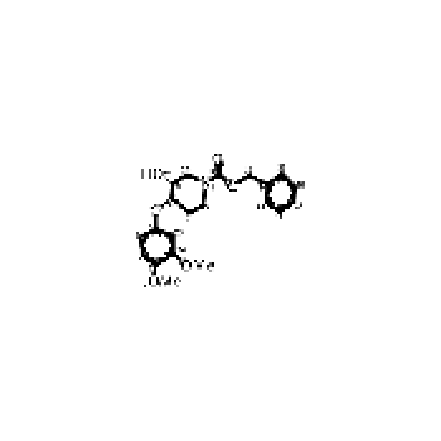 COc1ccc(O[C@@H]2CCN(C(=O)OCc3ccccc3)C[C@H]2O)cc1OC